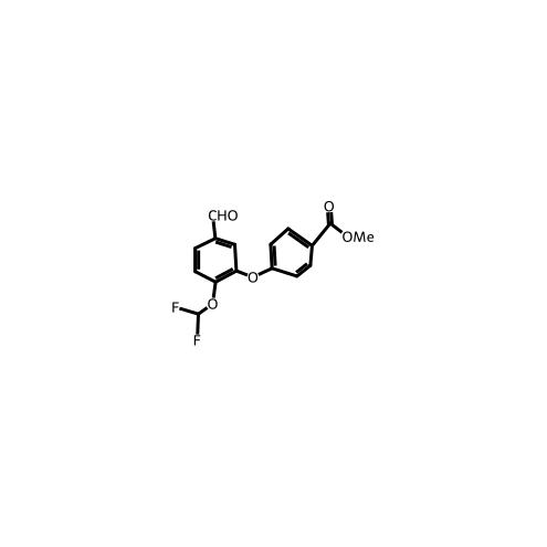 COC(=O)c1ccc(Oc2cc(C=O)ccc2OC(F)F)cc1